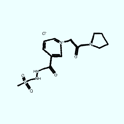 CS(=O)(=O)NNC(=O)c1ccc[n+](CC(=O)N2CCCC2)c1.[Cl-]